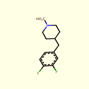 O=C(O)N1CCC(Cc2ccc(F)c(F)c2)CC1